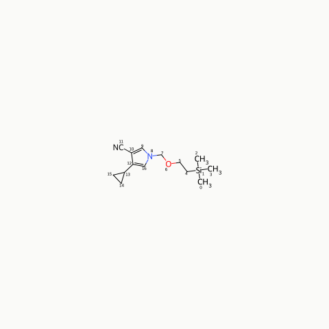 C[Si](C)(C)CCOCn1cc(C#N)c(C2CC2)c1